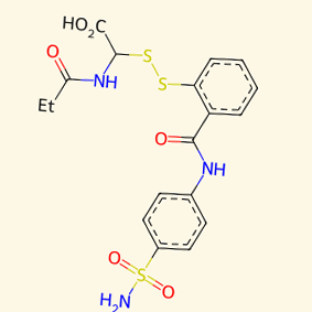 CCC(=O)NC(SSc1ccccc1C(=O)Nc1ccc(S(N)(=O)=O)cc1)C(=O)O